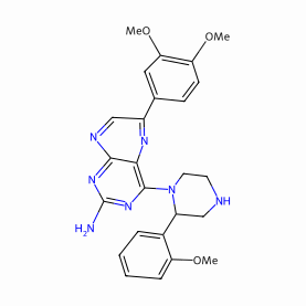 COc1ccc(-c2cnc3nc(N)nc(N4CCNCC4c4ccccc4OC)c3n2)cc1OC